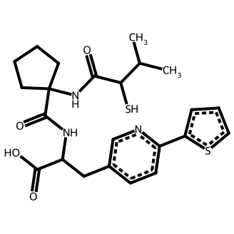 CC(C)C(S)C(=O)NC1(C(=O)NC(Cc2ccc(-c3cccs3)nc2)C(=O)O)CCCC1